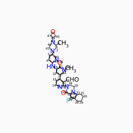 CC1CN(c2ccc(Nc3cc(-c4ccnc(N5CCn6c7c(c(F)c6C5=O)CCCC7)c4C=O)cn(C)c3=O)nc2)CCN1C1COC1